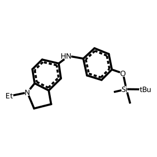 CCN1CCc2cc(Nc3ccc(O[Si](C)(C)C(C)(C)C)cc3)ccc21